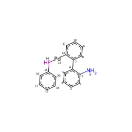 Nc1ccccc1-c1cccc[c]1[Pd][PH]c1ccccc1